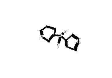 O=S(=O)(c1[c]ccnc1)c1ccccc1